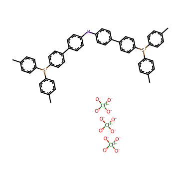 Cc1ccc([S+](c2ccc(C)cc2)c2ccc(-c3ccc([I+]c4ccc(-c5ccc([S+](c6ccc(C)cc6)c6ccc(C)cc6)cc5)cc4)cc3)cc2)cc1.[O-][Cl+3]([O-])([O-])[O-].[O-][Cl+3]([O-])([O-])[O-].[O-][Cl+3]([O-])([O-])[O-]